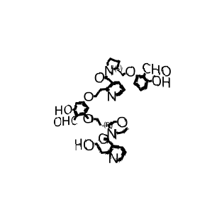 O=Cc1c(O)cc(OCCc2ncccc2C(=O)N2CCC[C@H]2COc2cccc(O)c2C=O)cc1OCC[C@@H]1COCCN1C(=O)c1cccnc1CCO